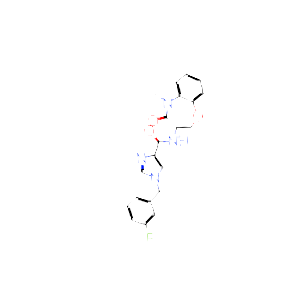 CN1C(=O)C(NC(=O)c2cn(Cc3cccc(F)c3)cn2)COc2ccccc21